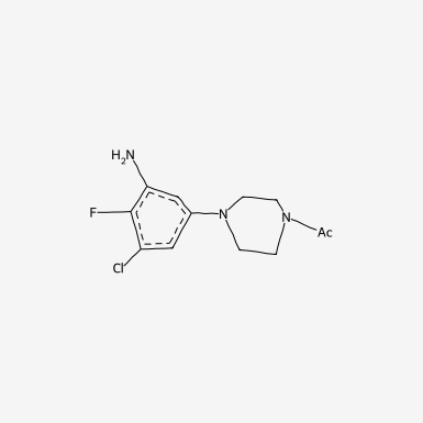 CC(=O)N1CCN(c2cc(N)c(F)c(Cl)c2)CC1